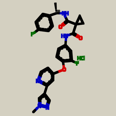 C[C@H](NC(=O)C1(C(=O)Nc2ccc(Oc3ccnc(-c4cnn(C)c4)c3)c(F)c2)CC1)c1ccc(F)cc1.Cl